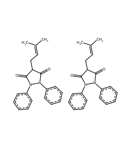 CC(C)=CCC1C(=O)N(c2ccccc2)N(c2ccccc2)C1=O.CC(C)=CCC1C(=O)N(c2ccccc2)N(c2ccccc2)C1=O